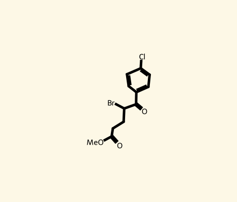 COC(=O)CCC(Br)C(=O)c1ccc(Cl)cc1